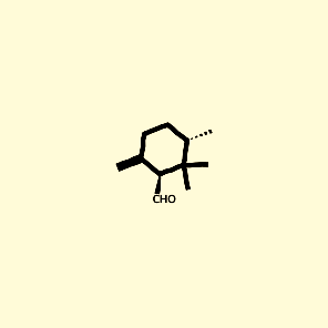 C=C1CC[C@H](C)C(C)(C)[C@H]1C=O